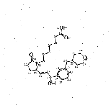 O=C(O)CCCCCCN1C(=O)CC[C@@H]1C=CC(O)c1cccc(CC2CCOCC2)c1